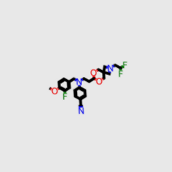 COc1ccc(CN(CCC2OCC3(CO2)CN(CC(F)F)C3)c2ccc(C#N)cc2)cc1F